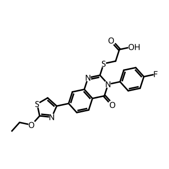 CCOc1nc(-c2ccc3c(=O)n(-c4ccc(F)cc4)c(SCC(=O)O)nc3c2)cs1